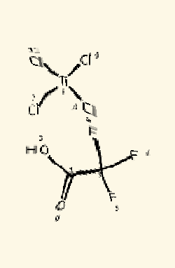 O=C(O)C(F)(F)F.[Cl][Ti]([Cl])([Cl])[Cl]